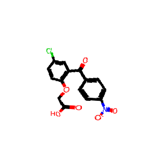 O=C(O)COc1ccc(Cl)cc1C(=O)c1ccc([N+](=O)[O-])cc1